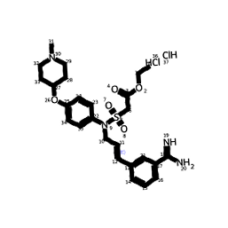 CCOC(=O)CS(=O)(=O)N(C/C=C/c1cccc(C(=N)N)c1)c1ccc(OC2CCN(C)CC2)cc1.Cl.Cl